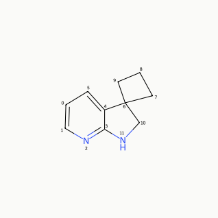 c1cnc2c(c1)C1(CCC1)CN2